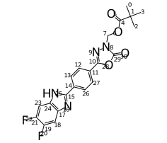 CC(C)(C)C(=O)OCn1nc(-c2ccc(-c3nc4cc(F)c(F)cc4[nH]3)cc2)oc1=O